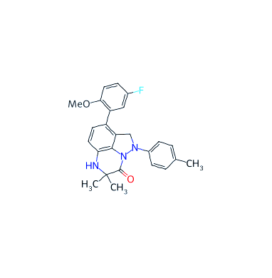 COc1ccc(F)cc1-c1ccc2c3c1CN(c1ccc(C)cc1)N3C(=O)C(C)(C)N2